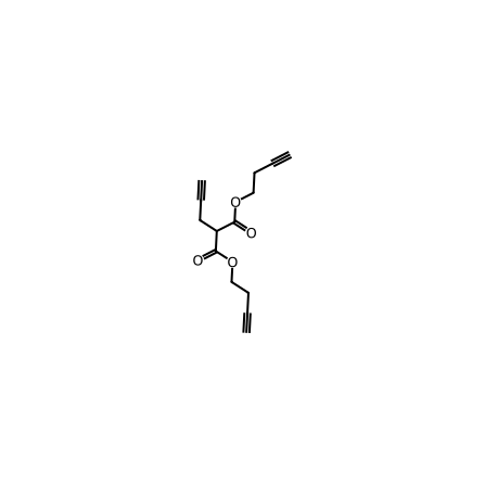 C#CCCOC(=O)C(CC#C)C(=O)OCCC#C